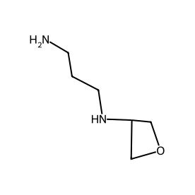 NCCCNC1COC1